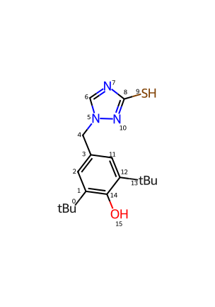 CC(C)(C)c1cc(Cn2cnc(S)n2)cc(C(C)(C)C)c1O